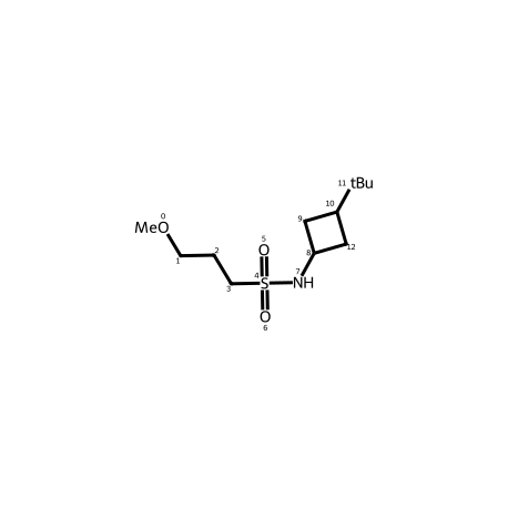 COCCCS(=O)(=O)NC1CC(C(C)(C)C)C1